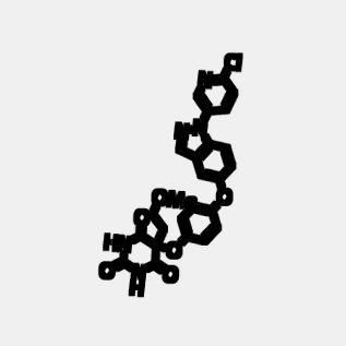 COCCC1(Oc2ccc(Oc3ccc4c(cnn4-c4ccc(Cl)nc4)c3)cc2)C(=O)NC(=O)NC1=O